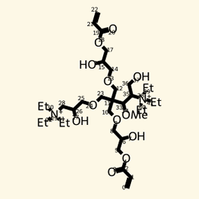 C=CC(=O)OCC(O)COCC(COCC(O)COC(=O)C=C)(COCC(O)C[N+](CC)(CC)CC)C(OC)C(CO)[N+](CC)(CC)CC